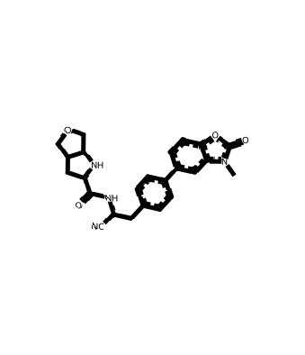 Cn1c(=O)oc2ccc(-c3ccc(CC(C#N)NC(=O)C4CC5COCC5N4)cc3)cc21